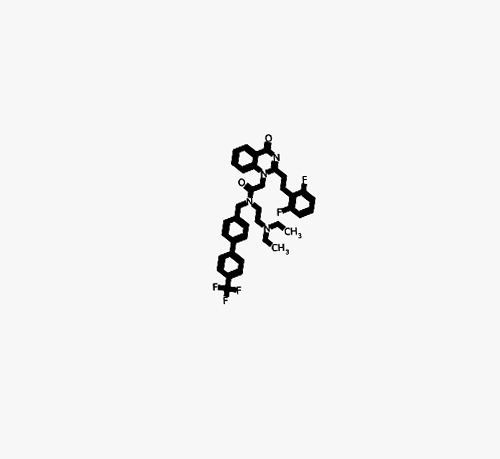 CCN(CC)CCN(Cc1ccc(-c2ccc(C(F)(F)F)cc2)cc1)C(=O)Cn1c(CCc2c(F)cccc2F)nc(=O)c2ccccc21